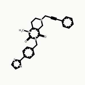 Cn1c2c(c(=O)n(Cc3ccc(-c4nccs4)cc3)c1=O)CN(CC#Cc1ccccc1)CC2